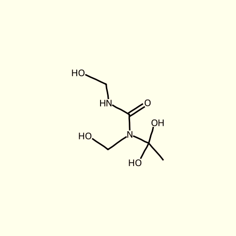 CC(O)(O)N(CO)C(=O)NCO